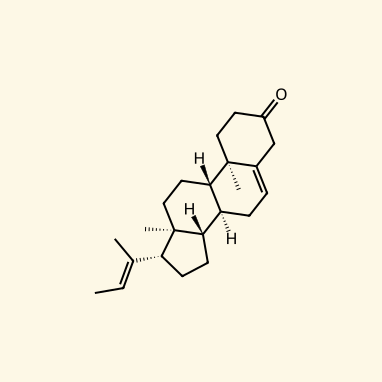 C/C=C(\C)[C@H]1CC[C@H]2[C@@H]3CC=C4CC(=O)CC[C@]4(C)[C@H]3CC[C@]12C